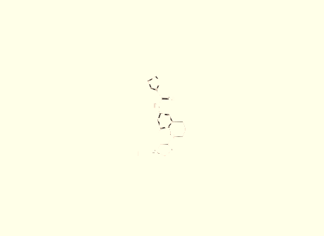 CN1CCC(N2CCCc3cc(NC(=N)c4cccs4)cc(F)c32)C1